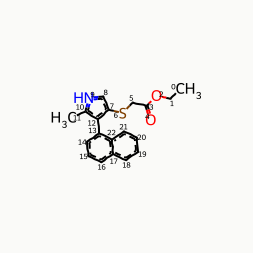 CCOC(=O)CSc1c[nH]c(C)c1-c1cccc2ccccc12